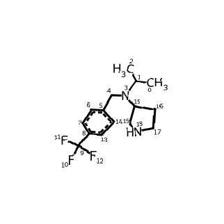 CC(C)N(Cc1ccc(C(F)(F)F)cc1)C1CCNC1